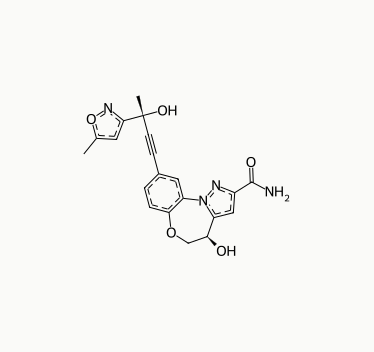 Cc1cc([C@](C)(O)C#Cc2ccc3c(c2)-n2nc(C(N)=O)cc2[C@@H](O)CO3)no1